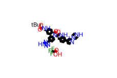 CC(C)(C)OC(=O)NC[C@H]1CC[C@H](C(=O)N(c2ccc(-c3nn[nH]n3)cc2)[C@@H](Cc2ccc(-c3ccnc(N4CCNCC4)c3)cc2)C(N)=O)CC1.O=C(O)C(F)(F)F